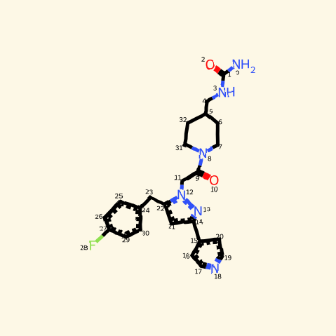 NC(=O)NCC1CCN(C(=O)Cn2nc(-c3ccncc3)cc2Cc2ccc(F)cc2)CC1